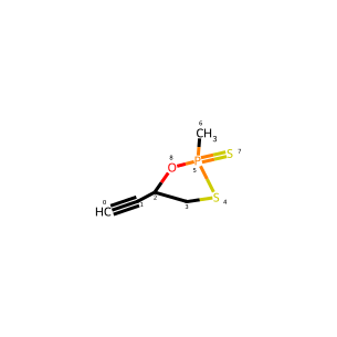 C#CC1CSP(C)(=S)O1